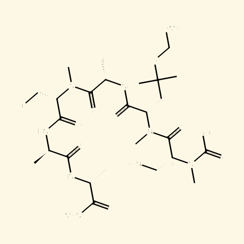 CCCC(=O)N(C)[C@H](CN)C(=O)N(C)[C@@H](CC(C)(C)OCOC)C(=O)N[C@H](C(=O)N(C)[C@@H](CC(C)C)C(=O)N[C@H](C)C(=O)N[C@H](C)C(=O)NC)C(C)C